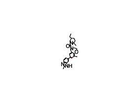 CCC1CCC(C)N(C(=O)N2CCOc3c(C)cc(-c4ccc5nc(C)[nH]c5c4)cc3C2)C1